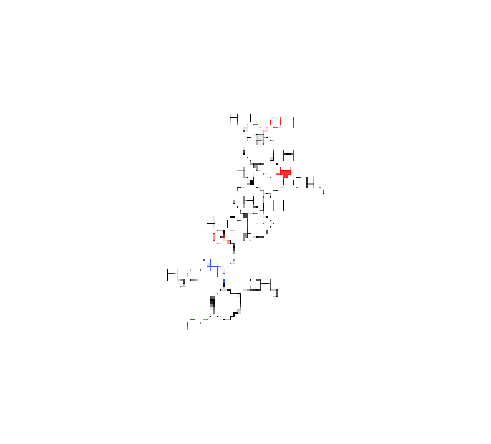 C=NN(CC(=O)[C@H]1CC[C@H]2[C@@H]3CC[C@@H]4C[C@](C)(O)CC[C@]4(COC)[C@H]3CC[C@]12C)c1cc(Cl)ccc1C